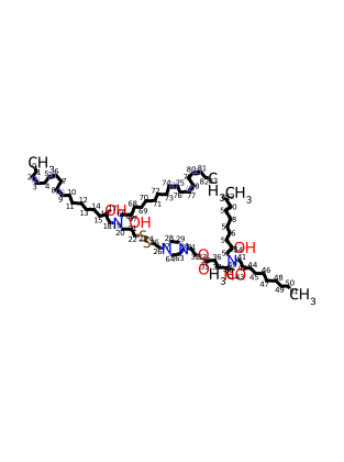 CC/C=C\C/C=C\C/C=C\CCCCCCC(O)CN(CCCSSCCN1CCN(CCOC(=O)CCC(C)N(CC(O)CCCCCCCC)CC(O)CCCCCCCC)CC1)CC(O)CCCCCC/C=C\C/C=C\C/C=C\CC